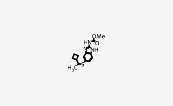 COC(=O)Nc1nc2cc(SC(C)C3CCC3)ccc2[nH]1